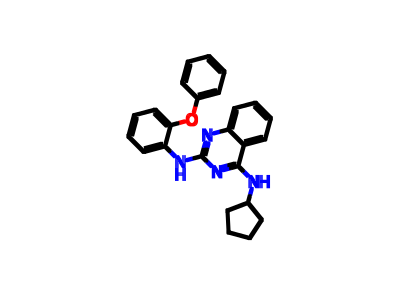 c1ccc(Oc2ccccc2Nc2nc(NC3CCCC3)c3ccccc3n2)cc1